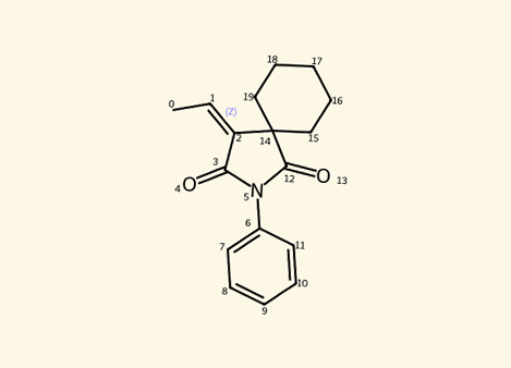 C/C=C1\C(=O)N(c2ccccc2)C(=O)C12CCCCC2